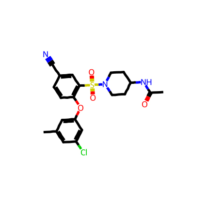 CC(=O)NC1CCN(S(=O)(=O)c2cc(C#N)ccc2Oc2cc(C)cc(Cl)c2)CC1